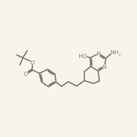 CC(C)(C)OC(=O)c1ccc(CCCC2CCc3nc(N)nc(O)c3C2)cc1